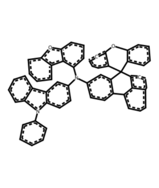 c1ccc(-n2c3ccccc3c3cc(N(c4ccc5c(c4)C4(c6ccccc6Oc6ccccc64)c4cccc6cccc-5c46)c4cccc5oc6ccccc6c45)ccc32)cc1